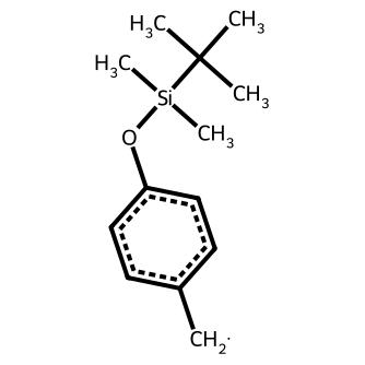 [CH2]c1ccc(O[Si](C)(C)C(C)(C)C)cc1